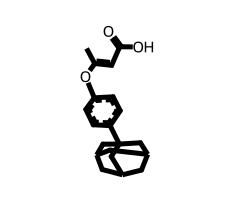 CC(=CC(=O)O)Oc1ccc(C23CC4CC(CC(C4)C2)C3)cc1